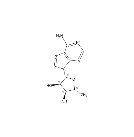 C[C@H]1O[C@@H](n2cnc3c2N=C[N+]=C3N)[C@H](O)[C@@H]1O